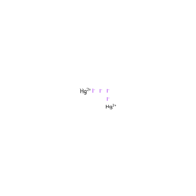 [Hg+2].[Hg+2].[I-].[I-].[I-].[I-]